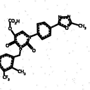 Cc1nnc(-c2ccc(-n3cc(OC(=O)O)c(=O)n(Cc4cccc(C(F)(F)F)c4C)c3=O)cc2)o1